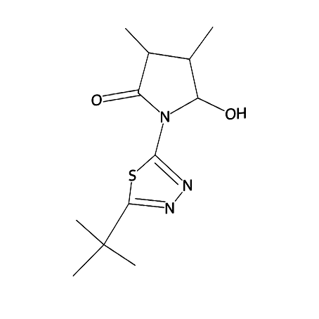 CC1C(=O)N(c2nnc(C(C)(C)C)s2)C(O)C1C